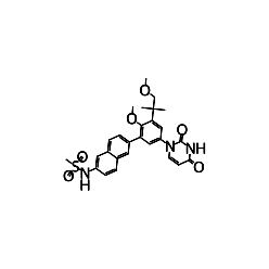 COCC(C)(C)c1cc(-n2ccc(=O)[nH]c2=O)cc(-c2ccc3cc(NS(C)(=O)=O)ccc3c2)c1OC